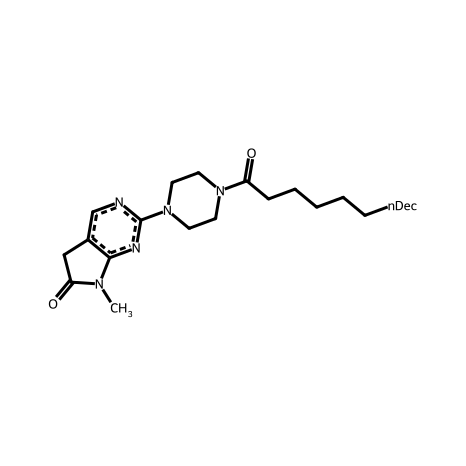 CCCCCCCCCCCCCCCC(=O)N1CCN(c2ncc3c(n2)N(C)C(=O)C3)CC1